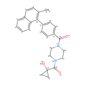 Cc1ccc2ccccc2c1-c1ccc(C(=O)N2CCN(C(=O)C3(O)CC3)CC2)cc1